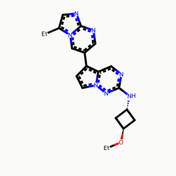 CCO[C@H]1C[C@H](Nc2ncc3c(-c4cnc5ncc(CC)n5c4)ccn3n2)C1